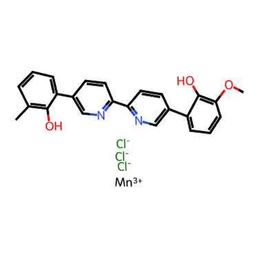 COc1cccc(-c2ccc(-c3ccc(-c4cccc(C)c4O)cn3)nc2)c1O.[Cl-].[Cl-].[Cl-].[Mn+3]